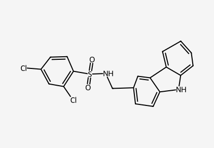 O=S(=O)(NCc1ccc2[nH]c3ccccc3c2c1)c1ccc(Cl)cc1Cl